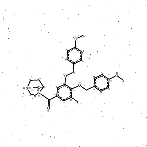 COc1ccc(COc2cc(C(=O)N3CCN4CCC3CC4)cc(F)c2OCc2ccc(OC)cc2)cc1